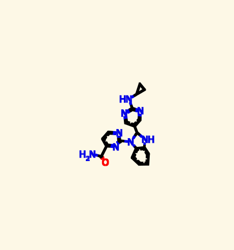 NC(=O)c1ccnc(N2c3ccccc3NC2c2cnc(NC3CC3)nc2)n1